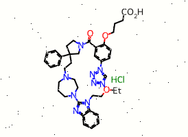 CCOCCn1c(N2CCCN(CCC3(c4ccccc4)CCN(C(=O)c4cc(-n5cnnn5)ccc4OCCCC(=O)O)C3)CC2)nc2ccccc21.Cl